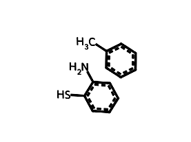 Cc1ccccc1.Nc1ccccc1S